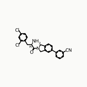 N#Cc1cccc(-c2ccc3c(c2)CN(C(=O)[C@H](N)Cc2ccc(Cl)cc2Cl)C3)c1